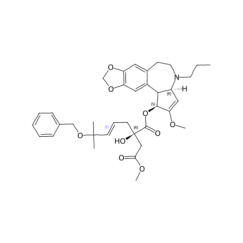 CCCN1CCc2cc3c(cc2C2[C@H](OC(=O)[C@@](O)(C/C=C/C(C)(C)OCc4ccccc4)CC(=O)OC)C(OC)=C[C@@H]21)OCO3